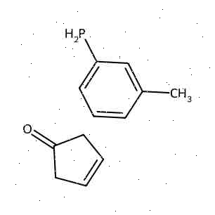 Cc1cccc(P)c1.O=C1CC=CC1